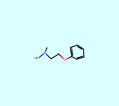 CCCN(C)CCOc1ccccc1